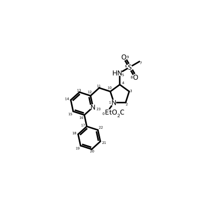 CCOC(=O)N1CCC(NS(C)(=O)=O)C1Cc1cccc(-c2ccccc2)n1